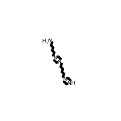 NCCCCCCN1CCN(CCCCCCN2CCNCC2)CC1